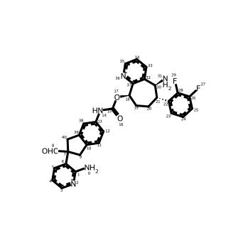 Nc1ncccc1C1(C=O)Cc2ccc(NC(=O)O[C@@H]3CC[C@@H](c4cccc(F)c4F)[C@H](N)c4cccnc43)cc2C1